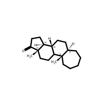 C[C@]12CCC3[C@@H](CC[C@H]4CCCCC[C@]34C)[C@@H]1CCC2=O